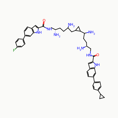 NC(CC[C@H](N)CNC(=O)c1cc2ccc(-c3ccc(F)cc3)cc2[nH]1)CC1CC1C(N)CC[C@H](N)CNC(=O)c1cc2ccc(-c3ccc(C4CC4)cc3)cc2[nH]1